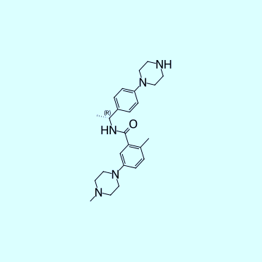 Cc1ccc(N2CCN(C)CC2)cc1C(=O)N[C@H](C)c1ccc(N2CCNCC2)cc1